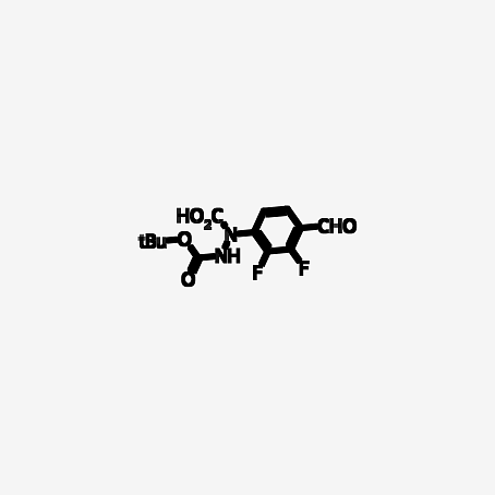 CC(C)(C)OC(=O)NN(C(=O)O)c1ccc(C=O)c(F)c1F